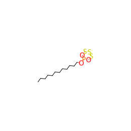 CCCCCCCCCCCCOP1OSSSO1